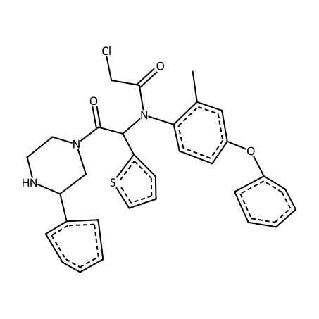 Cc1cc(Oc2ccccc2)ccc1N(C(=O)CCl)C(C(=O)N1CCNC(c2ccccc2)C1)c1cccs1